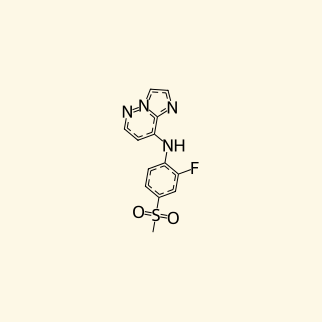 CS(=O)(=O)c1ccc(Nc2ccnn3ccnc23)c(F)c1